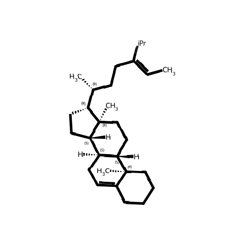 CC=C(CC[C@@H](C)[C@H]1CC[C@H]2[C@@H]3CC=C4CCCC[C@]4(C)[C@H]3CC[C@]12C)C(C)C